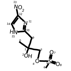 CC(O)(COS(C)(=O)=O)Cc1nc([N+](=O)[O-])c[nH]1